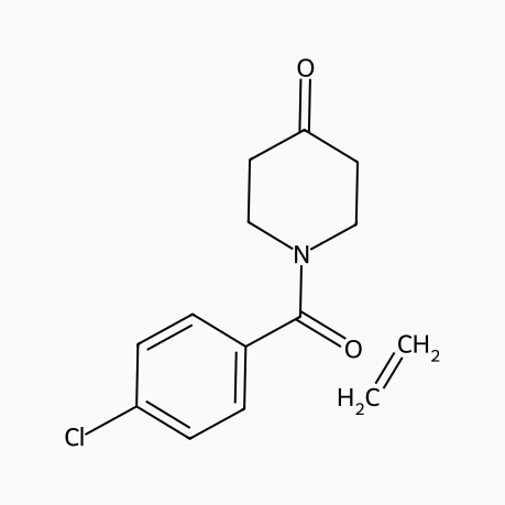 C=C.O=C1CCN(C(=O)c2ccc(Cl)cc2)CC1